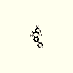 O=C1Nc2ccc(N3CCOCC3)cc2Nc2nnc(Cl)cc21